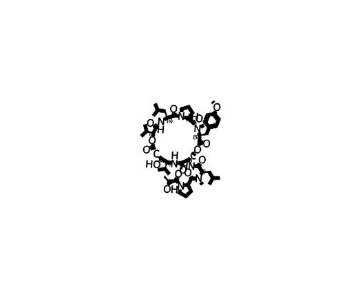 COc1ccc(C[C@H]2C(=O)OC[C@H](NC(=O)[C@@H](CC(C)C)N(C)C(=O)C3CCCN3C(=O)[C@H](C)O)C(=O)N[C@H](C(C)C)[C@@H](O)CC(=O)O[C@@H](C(C)C)C(=O)N[C@@H](CC(C)C)C(=O)N3CCC[C@H]3C(=O)N2C)cc1